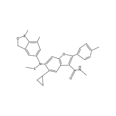 CNC(=O)c1c(-c2ccc(C)cc2)oc2cc(N(SC)c3cc(C)c4c(c3)COB4C)c(C3CC3)cc12